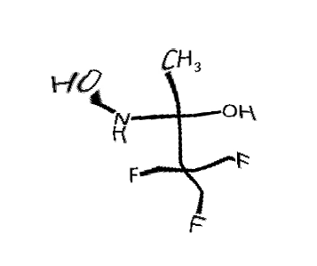 CC(O)(NO)C(F)(F)F